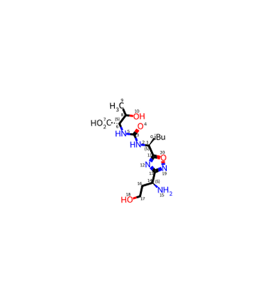 CCC(C)[C@H](NC(=O)N[C@H](C(=O)O)C(C)O)c1nc([C@@H](N)CCO)no1